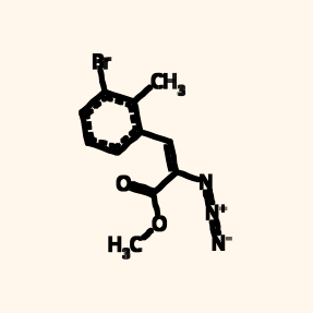 COC(=O)/C(=C\c1cccc(Br)c1C)N=[N+]=[N-]